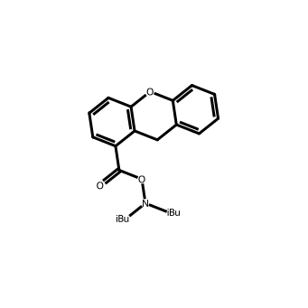 CCC(C)N(OC(=O)c1cccc2c1Cc1ccccc1O2)C(C)CC